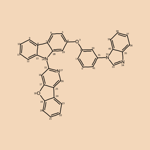 c1cc(Oc2ccc3c4ccccc4n(-c4cc5oc6ccccc6c5cn4)c3c2)cc(-n2cnc3ccccc32)c1